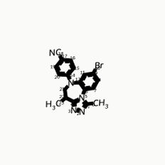 Cc1nnc2n1-c1ccc(Br)cc1N(c1ccc(C#N)cc1)CC2C